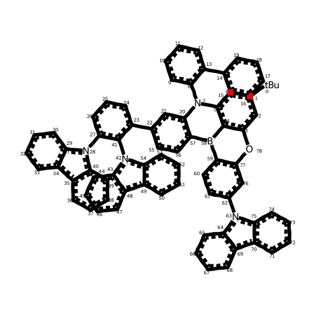 CC(C)(C)c1cc2c3c(c1)N(c1ccccc1-c1ccccc1)c1cc(-c4cccc(-n5c6ccccc6c6ccccc65)c4-n4c5ccccc5c5ccccc54)ccc1B3c1ccc(-n3c4ccccc4c4ccccc43)cc1O2